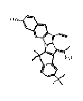 C=Cc1c2cc3ccc(O)cc3cc2n2c3c(/c(=C(/C)O)c12)-c1cc(C(C)(C)C)ccc1C3(C)C